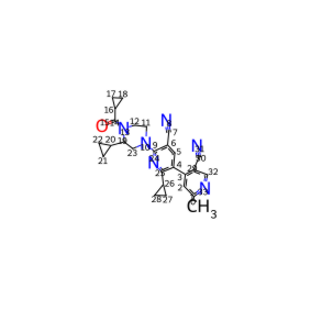 Cc1cc(-c2cc(C#N)c(N3CCN(C(=O)C4CC4)C(C4CC4)C3)nc2C2CC2)c(C#N)cn1